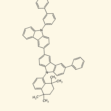 CC1(C)CCC(C)(C)c2c(-n3c4ccc(-c5ccccc5)cc4c4cc(-c5ccc6c(c5)c5ccccc5n6-c5cccc(-c6ccccc6)c5)ccc43)cccc21